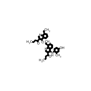 C=Cc1cccc2c(Cl)c(C(=O)CCC)cnc12.C=Cc1cccc2c(Nc3ccc(O)cc3C)c(C(=O)CCC)cnc12